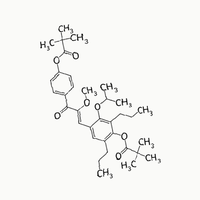 CCCc1cc(C=C(OC)C(=O)c2ccc(OC(=O)C(C)(C)C)cc2)c(OC(C)C)c(CCC)c1OC(=O)C(C)(C)C